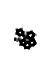 CC1=Cc2ccc3ccccc3c2[CH]1[Zr]([c]1ccccc1)[c]1ccccc1